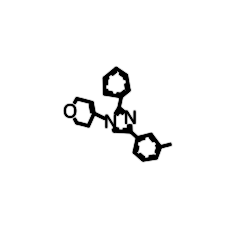 Cc1cccc(-c2cn(C3=CCOCC3)c(-c3ccccc3)n2)c1